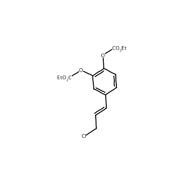 CCOC(=O)Oc1ccc(/C=C/CCl)cc1OC(=O)OCC